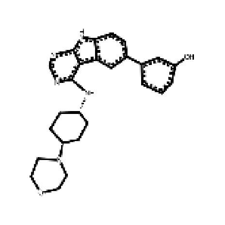 Oc1cccc(-c2ccc3[nH]c4ncnc(N[C@H]5CC[C@H](N6CCOCC6)CC5)c4c3c2)c1